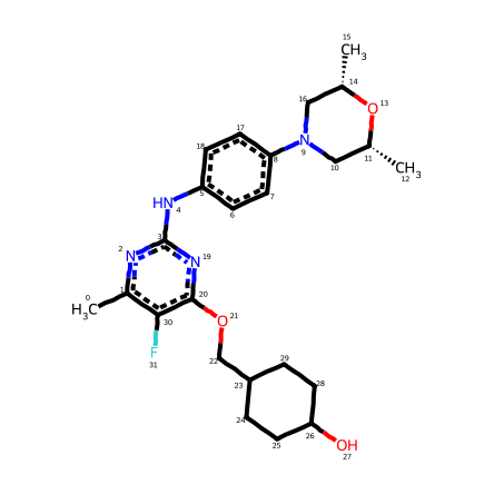 Cc1nc(Nc2ccc(N3C[C@@H](C)O[C@@H](C)C3)cc2)nc(OCC2CCC(O)CC2)c1F